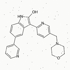 Oc1[nH]c2ccc(-c3cccnc3)cc2c1-c1ccc(CN2CCOCC2)cn1